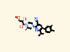 COCC(=O)C(=O)N1CCN(c2nc(C(C)C)c(-c3ccc(C)c(C)c3)cc2C#N)C[C@H]1C